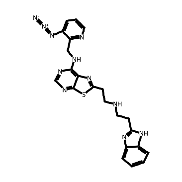 [N-]=[N+]=Nc1cccnc1CNc1ncnc2sc(CCNCCc3nc4ccccc4[nH]3)nc12